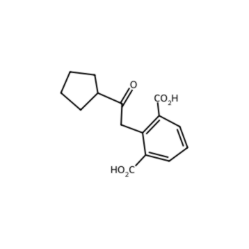 O=C(O)c1cccc(C(=O)O)c1CC(=O)C1CCCC1